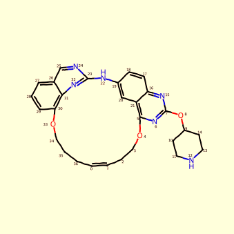 C1=C\CCOc2nc(OC3CCNCC3)nc3ccc(cc23)Nc2ncc3cccc(c3n2)OCCC/1